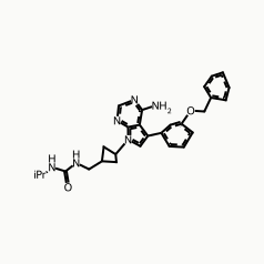 CC(C)NC(=O)NCC1CC(n2cc(-c3cccc(OCc4ccccc4)c3)c3c(N)ncnc32)C1